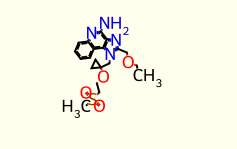 CCOCc1nc2c(N)nc3ccccc3c2n1CC1(OCCS(C)(=O)=O)CC1